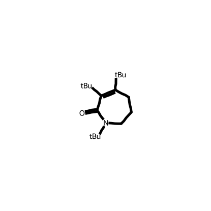 CC(C)(C)C1=C(C(C)(C)C)C(=O)N(C(C)(C)C)CCC1